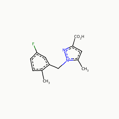 Cc1ccc(F)cc1Cn1nc(C(=O)O)cc1C